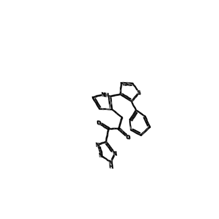 O=C(Cc1cc[nH]c1-c1ccsc1-c1ccccc1)C(=O)c1nn[nH]n1